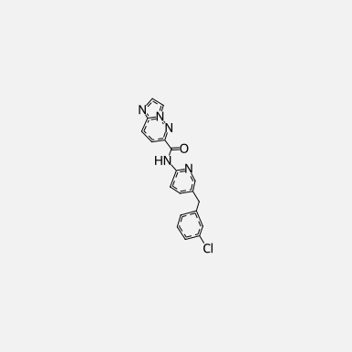 O=C(Nc1ccc(Cc2cccc(Cl)c2)cn1)c1ccc2nccn2n1